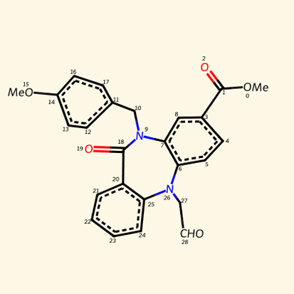 COC(=O)c1ccc2c(c1)N(Cc1ccc(OC)cc1)C(=O)c1ccccc1N2CC=O